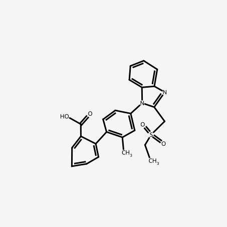 CCS(=O)(=O)Cc1nc2ccccc2n1-c1ccc(-c2ccccc2C(=O)O)c(C)c1